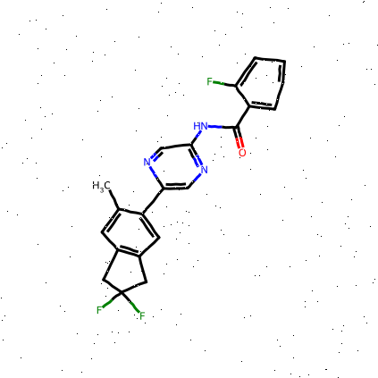 Cc1cc2c(cc1-c1cnc(NC(=O)c3ccccc3F)cn1)CC(F)(F)C2